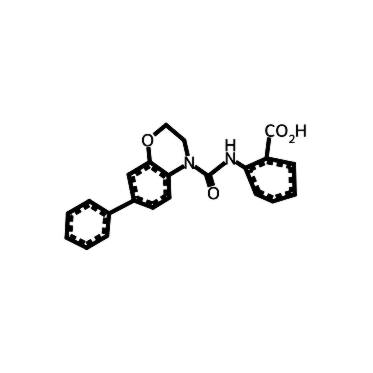 O=C(O)c1ccccc1NC(=O)N1CCOc2cc(-c3ccccc3)ccc21